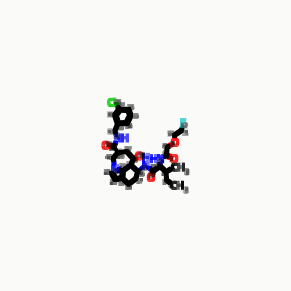 CCC(C)C(NC(=O)COCCF)C(=O)N[C@H]1CCc2ccn3c2C1C(=O)C[C@H](C(=O)NCc1cccc(Cl)c1)C3